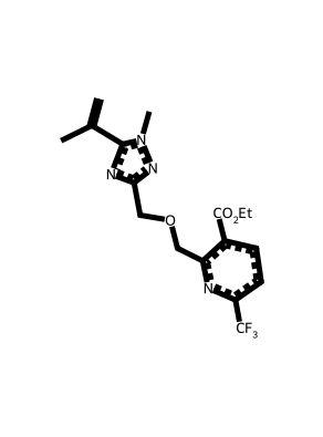 C=C(C)c1nc(COCc2nc(C(F)(F)F)ccc2C(=O)OCC)nn1C